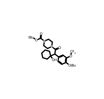 CC(C)COc1ccc(C(C(=O)N2CCN(C(=O)OC(C)(C)C)CC2)C2(O)CCCCC2)cc1OC(F)(F)F